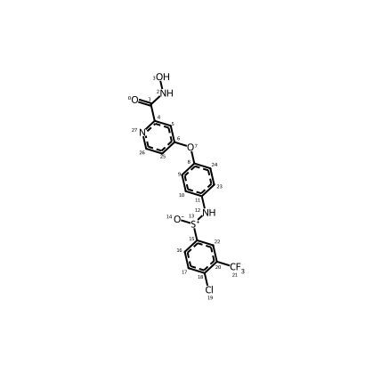 O=C(NO)c1cc(Oc2ccc(N[S+]([O-])c3ccc(Cl)c(C(F)(F)F)c3)cc2)ccn1